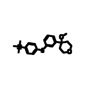 COC1(c2cccc(Sc3ccc([Si](C)(C)C)cc3)c2)CCOCC1